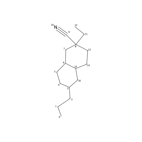 CCCC1CCC2CC(C#N)(CC)CCC2C1